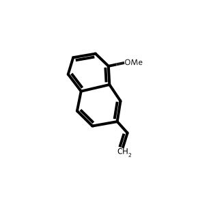 C=Cc1ccc2cccc(OC)c2c1